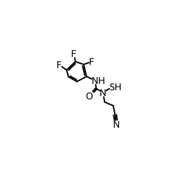 N#CCCN(S)C(=O)Nc1ccc(F)c(F)c1F